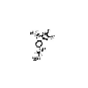 CN(C[C@H]1CC[C@@H](NC(=O)OC(C)(C)C)CC1)c1ccc(Br)c(F)n1